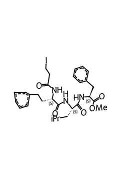 COC(=O)[C@H](Cc1ccccc1)NC(=O)[C@H](CC(C)C)NC(=O)[C@H](CCc1ccccc1)NC(=O)CCI